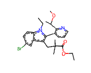 CCOC(=O)C(C)(C)Cc1c(-c2cccnc2C(C)OC)n(CC)c2ccc(Br)cc12